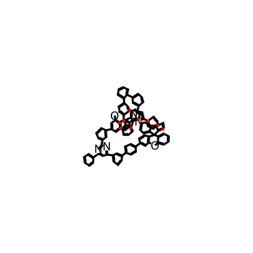 c1ccc(-c2cc(-c3cccc(-c4ccccc4-c4ccc5c(c4)Oc4cc(-c6cccc(-c7nc(-c8ccccc8)cc(-c8cccc(-c9ccc(-c%10ccc%11c(c%10)Oc%10ccccc%10C%11%10c%11ccccc%11-c%11ccccc%11%10)cc9)c8)n7)c6)ccc4C54c5ccccc5-c5ccccc54)c3)nc(-c3ccccc3)n2)cc1